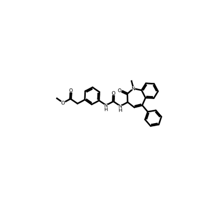 COC(=O)Cc1cccc(NC(=O)NC2C=C(c3ccccc3)c3ccccc3N(C)C2=O)c1